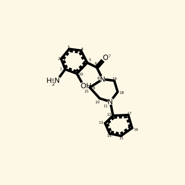 Nc1cccc(C(=O)N2CCN(c3ccccc3)CC2)c1O